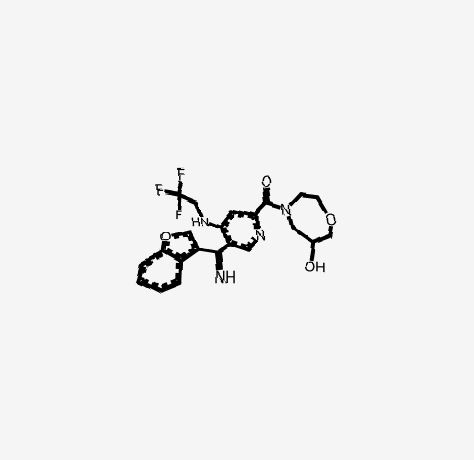 N=C(c1cnc(C(=O)N2CCOCC(O)C2)cc1NCC(F)(F)F)c1coc2ccccc12